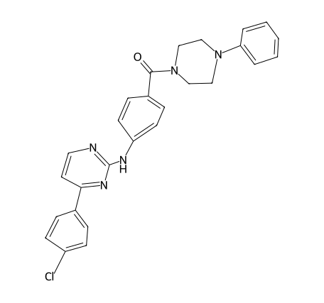 O=C(c1ccc(Nc2nccc(-c3ccc(Cl)cc3)n2)cc1)N1CCN(c2ccccc2)CC1